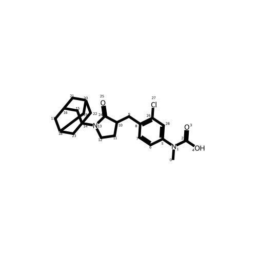 CN(C(=O)O)c1ccc(CC2CCN(C34CC5CC(CC(C5)C3)C4)C2=O)c(Cl)c1